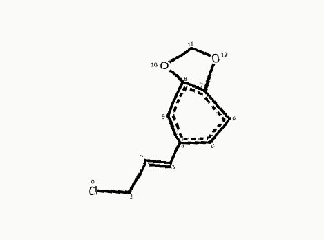 ClCC=Cc1ccc2c(c1)OCO2